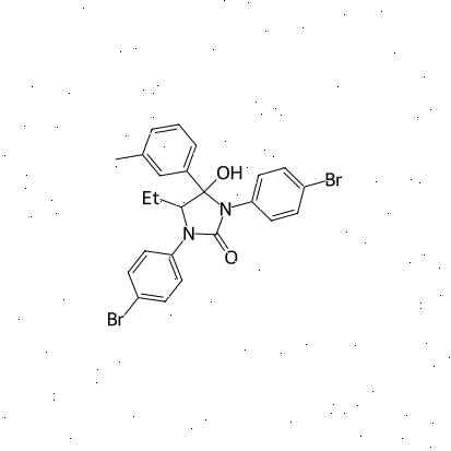 CCC1N(c2ccc(Br)cc2)C(=O)N(c2ccc(Br)cc2)C1(O)c1cccc(C)c1